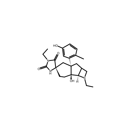 CCN1C(=O)N[C@]2(CC[C@@]3(O)[C@H]4C(CN4CC)C[C@]3(c3cc(O)ccc3C)C2)C1=O